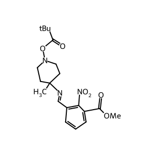 COC(=O)c1cccc(C=NC2(C)CCN(OC(=O)C(C)(C)C)CC2)c1[N+](=O)[O-]